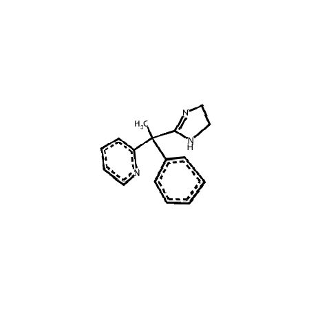 CC(C1=NCCN1)(c1ccccc1)c1ccccn1